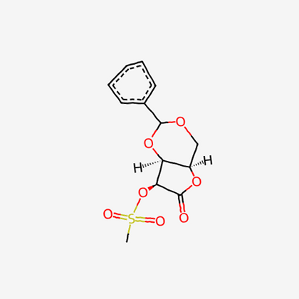 CS(=O)(=O)O[C@@H]1C(=O)O[C@@H]2COC(c3ccccc3)O[C@H]12